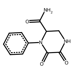 NC(=O)C1CNC(=O)C(=O)N1c1ccccc1